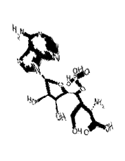 Nc1ncnc2c1ncn2[C@@H]1O[C@H](C(OP(=O)(O)O)C(CO)[C@H](N)C(=O)O)[C@@H](O)[C@H]1O